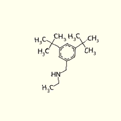 CCNCc1cc(C(C)(C)C)cc(C(C)(C)C)c1